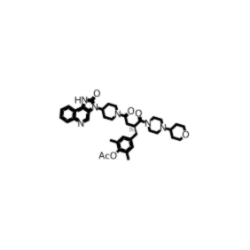 CC(=O)Oc1c(C)cc(C[C@@H](CC(=O)N2CCC(n3c(=O)[nH]c4c5ccccc5ncc43)CC2)C(=O)N2CCN(C3CCOCC3)CC2)cc1C